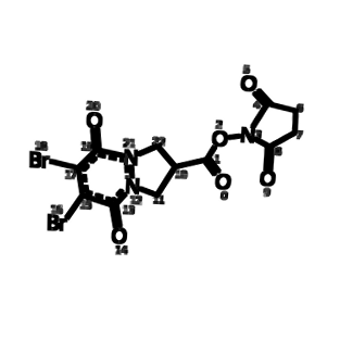 O=C(ON1C(=O)CCC1=O)C1Cn2c(=O)c(Br)c(Br)c(=O)n2C1